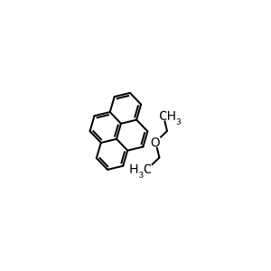 CCOCC.c1cc2ccc3cccc4ccc(c1)c2c34